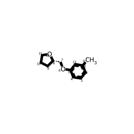 Cc1cccc(OC[C@@H]2CCCO2)c1